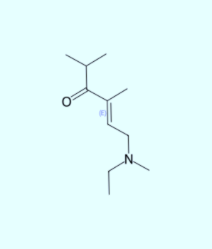 CCN(C)C/C=C(\C)C(=O)C(C)C